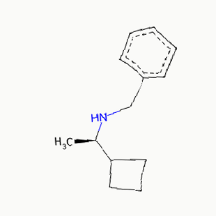 C[C@@H](NCc1ccccc1)C1CCC1